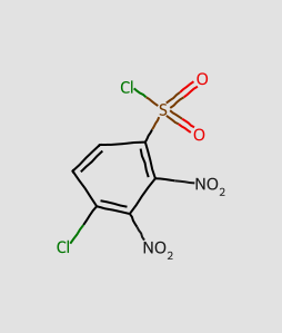 O=[N+]([O-])c1c(Cl)ccc(S(=O)(=O)Cl)c1[N+](=O)[O-]